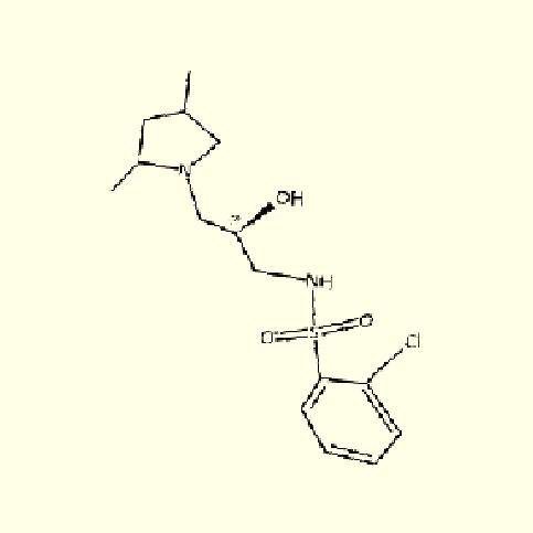 CC1CC(C)N(C[C@@H](O)CNS(=O)(=O)c2ccccc2Cl)C1